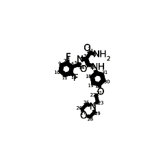 NC(=O)c1nc(-c2c(F)cccc2F)oc1Nc1ccc(OCCN2CCOCC2)cc1